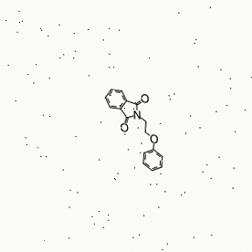 O=C1c2ccccc2C(=O)N1CCOc1[c]cccc1